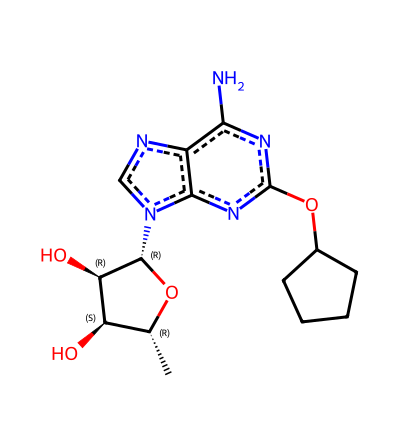 C[C@H]1O[C@@H](n2cnc3c(N)nc(OC4CCCC4)nc32)[C@H](O)[C@@H]1O